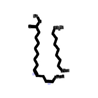 CCCCC/C=C\C/C=C\CCCCCCCC(=O)OC(C)C.CCCCCCCCCCCCCCCCCC(=O)OCC